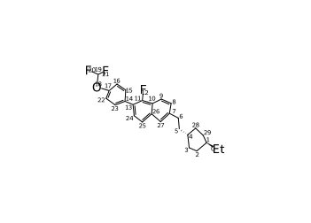 CC[C@H]1CC[C@H](CCc2ccc3c(F)c(-c4ccc(OC(F)F)cc4)ccc3c2)CC1